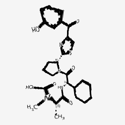 C[C@@H](C(=O)N[C@H](C(=O)N1CCC[C@@H]1c1nc(C(=O)c2cccc(O)c2)cs1)C1CCCCC1)N(C)C(=O)O